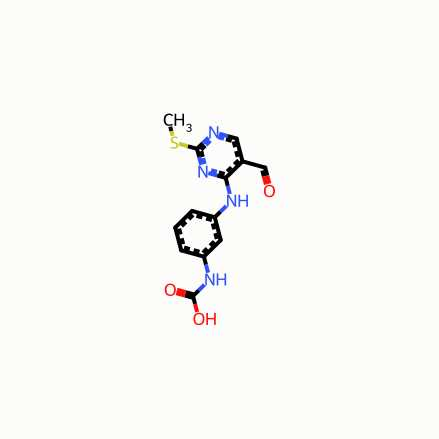 CSc1ncc(C=O)c(Nc2cccc(NC(=O)O)c2)n1